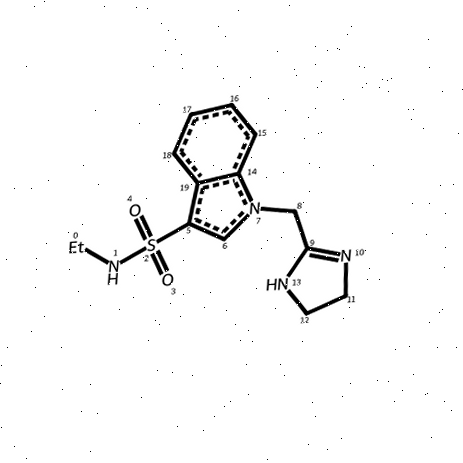 CCNS(=O)(=O)c1cn(CC2=NCCN2)c2ccccc12